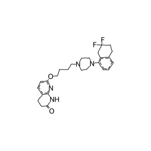 O=C1CCc2ccc(OCCCCN3CCN(c4cccc5c4CC(F)(F)CC5)CC3)nc2N1